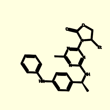 CCC1COC(=O)N1c1nc(C)nc(N[C@@H](C)c2ccc(Nc3ccccc3)cc2)n1